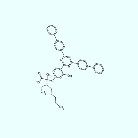 CCCCCC(CC)C(C)(Oc1ccc(-c2nc(-c3ccc(-c4ccccc4)cc3)nc(-c3ccc(-c4ccccc4)cc3)n2)c(O)c1)C(=O)O